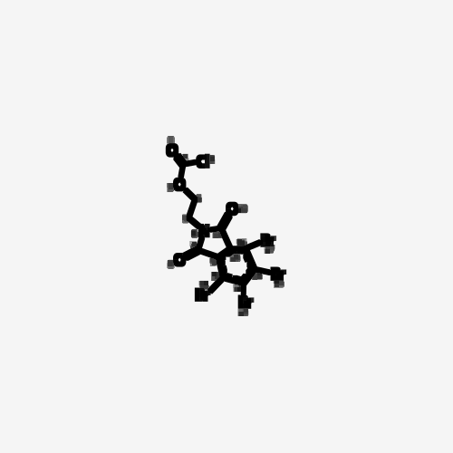 O=C(Cl)OCCN1C(=O)c2c(Br)c(Br)c(Br)c(Br)c2C1=O